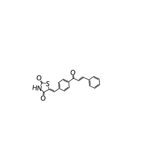 O=C1NC(=O)C(=Cc2ccc(C(=O)C=Cc3ccccc3)cc2)S1